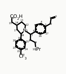 C=CCc1ccc(C(CCC(C)C)N2CCC(CC(=O)O)CC2c2ccc(C(F)(F)F)cc2)cc1